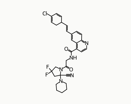 N#CC1(N2CCCCC2)CC(F)(F)CN1C(=O)CNC(=O)c1ccnc2ccc(/C=C/C3C=CC(Cl)=CC3)cc12